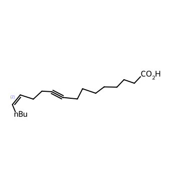 CCCC/C=C\CCC#CCCCCCCCC(=O)O